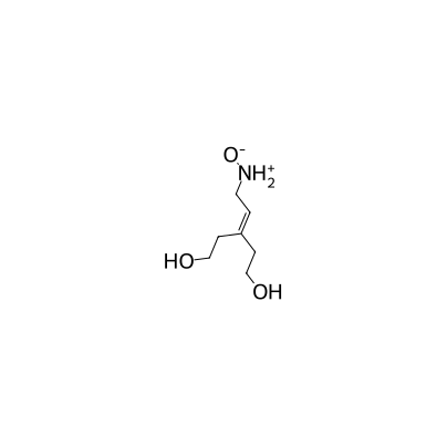 [O-][NH2+]CC=C(CCO)CCO